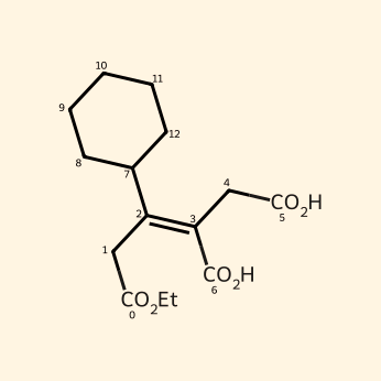 CCOC(=O)CC(=C(CC(=O)O)C(=O)O)C1CCCCC1